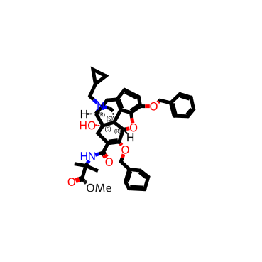 COC(=O)C(C)(C)NC(=O)C1=C(OCc2ccccc2)[C@@H]2Oc3c(OCc4ccccc4)ccc4c3[C@@]23CCN(CC2CC2)[C@H](C4)[C@]3(O)C1